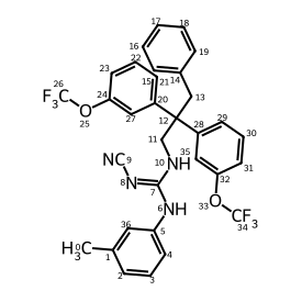 Cc1cccc(NC(=NC#N)NCC(Cc2ccccc2)(c2cccc(OC(F)(F)F)c2)c2cccc(OC(F)(F)F)c2)c1